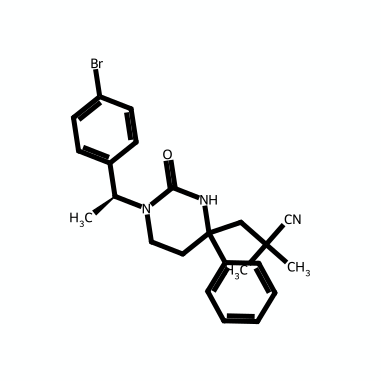 C[C@@H](c1ccc(Br)cc1)N1CCC(CC(C)(C)C#N)(c2ccccc2)NC1=O